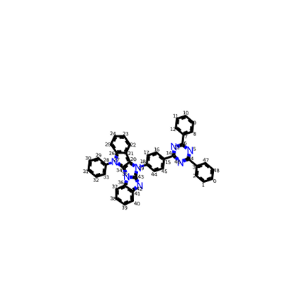 c1ccc(-c2nc(-c3ccccc3)nc(-c3ccc(-n4c5c6ccccc6n(-c6ccccc6)c5n5c6ccccc6nc45)cc3)n2)cc1